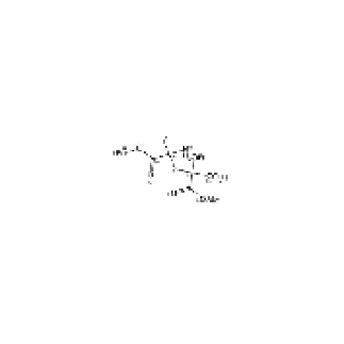 COC(=O)C(O)(CC(C)(N)C(=O)OC(C)(C)C)C(=O)O